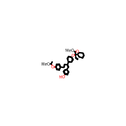 C=CC(Oc1ccc(C(C=Cc2ccc(OC(C)OC)cc2)=Cc2ccc(O)cc2)cc1)(C(=O)OC)C1CCCCC1